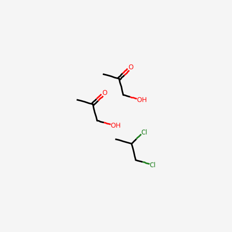 CC(=O)CO.CC(=O)CO.CC(Cl)CCl